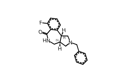 O=C1NC[C@H]2CN(Cc3ccccc3)C[C@H]2c2cccc(F)c21